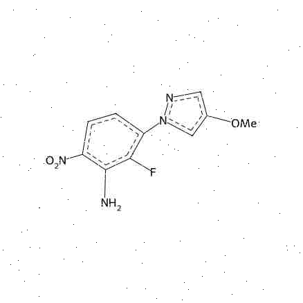 COc1cnn(-c2ccc([N+](=O)[O-])c(N)c2F)c1